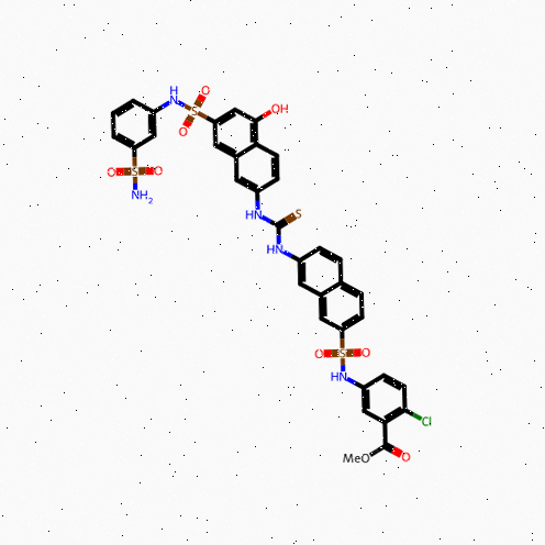 COC(=O)c1cc(NS(=O)(=O)c2ccc3ccc(NC(=S)Nc4ccc5c(O)cc(S(=O)(=O)Nc6cccc(S(N)(=O)=O)c6)cc5c4)cc3c2)ccc1Cl